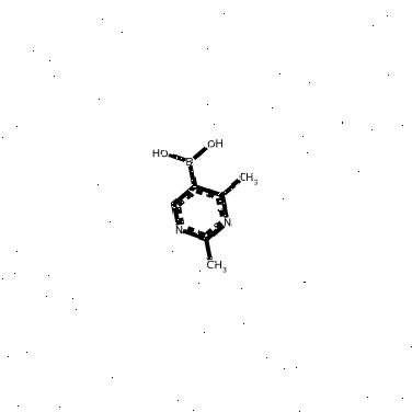 Cc1ncc(B(O)O)c(C)n1